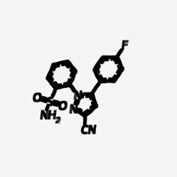 N#Cc1cc(-c2ccc(F)cc2)n(-c2ccccc2S(N)(=O)=O)n1